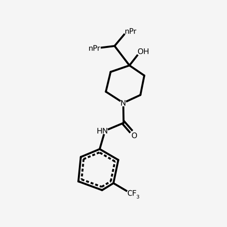 CCCC(CCC)C1(O)CCN(C(=O)Nc2cccc(C(F)(F)F)c2)CC1